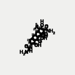 CN(C)C1C(O)=C(C(N)=O)C(=O)C2(O)C(O)=C3C(=O)c4c(ccc(NC(=O)CN)c4O)CC3CC12